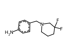 Nc1ccc(CN2CCCC(F)(F)C2)cc1